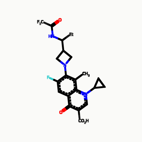 CCC(NC(=O)C(F)(F)F)C1CN(c2c(F)cc3c(=O)c(C(=O)O)cn(C4CC4)c3c2C)C1